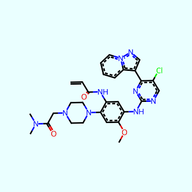 C=CC(=O)Nc1cc(Nc2ncc(Cl)c(-c3cnn4ccccc34)n2)c(OC)cc1N1CCN(CC(=O)N(C)C)CC1